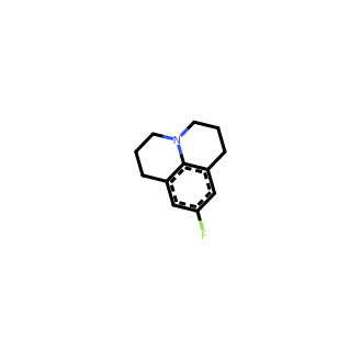 Fc1cc2c3c(c1)CCCN3CCC2